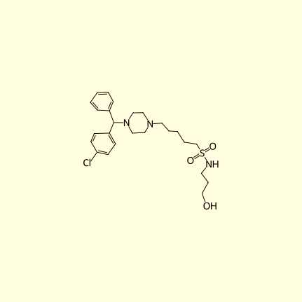 O=S(=O)(CCCCCN1CCN(C(c2ccccc2)c2ccc(Cl)cc2)CC1)NCCCO